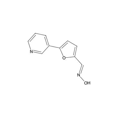 ON=Cc1ccc(-c2cccnc2)o1